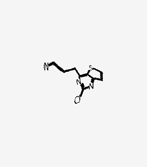 [N]CCCc1nc(Cl)nc2c1SCC2